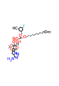 CCCCCCCCCCCCCCCCCCCOC[C@H](COP(=O)(O)OC1[C@H]2O[C@@](C)(c3ccc4c(N)ncnn34)[C@@H]3OC(C)(C)O[C@]123)OCc1cc(F)cc(C#N)c1